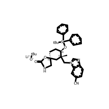 CC(C)(C)[O-].CC(C)(C)[Si](O[C@@H]1CC[C@@]2(CNC(=O)O2)C[C@@]1(C)Cn1cnc2ccc(C#N)cc21)(c1ccccc1)c1ccccc1.[Li+]